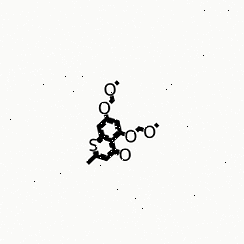 COCOc1cc(OCOC)c2c(=O)cc(C)sc2c1